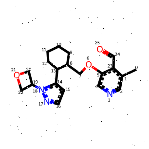 Cc1cncc(OCC2CCCCC2c2ccnn2C2COC2)c1C=O